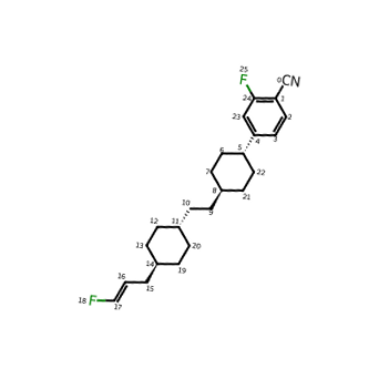 N#Cc1ccc([C@H]2CC[C@H](CC[C@H]3CC[C@H](CC=CF)CC3)CC2)cc1F